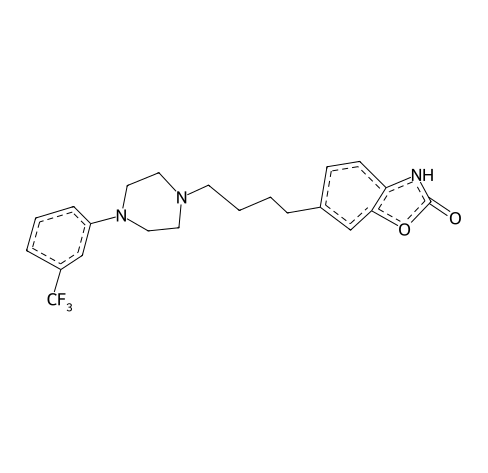 O=c1[nH]c2ccc(CCCCN3CCN(c4cccc(C(F)(F)F)c4)CC3)cc2o1